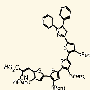 CCCCCc1cc(-c2sc(-c3sc(-c4sc(C5=NN(c6ccccc6)C(c6ccccc6)C5)cc4CCCCC)cc3CCCCC)cc2CCCCC)sc1/C=C(\C#N)C(=O)O